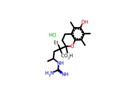 CCC(CC(C)NC(=N)N)(C(=O)O)C1(C)CCc2c(C)c(O)c(C)c(C)c2O1.Cl